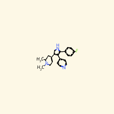 CC1CC(c2c[nH]c(-c3ccc(F)cc3)c2-c2ccncc2)=CCN1C